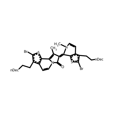 CCCCCCCCCCCCc1c(Br)sc2c1C=CN1C(=O)/C(=C3\c4sc(Br)c(CCCCCCCCCCCC)c4C=CN3C)C(C)=C21